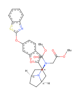 CC(C)(C)OC(=O)CN(C(=O)OC(C)(C)C)[C@H]1C[C@H]2CC[C@@H](C1)N2Cc1cc2ccc(Oc3nc4ccccc4s3)cc2o1